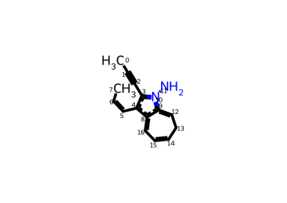 CC#Cc1c(/C=C\C)c2c(n1N)=CCC=CC=2